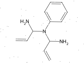 C=CC(N)N(c1ccccc1)C(N)C=C